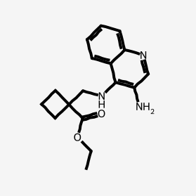 CCOC(=O)C1(CNc2c(N)cnc3ccccc23)CCC1